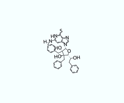 Nc1cc2c(ncn2[C@@H]2O[C@H](C(O)Cc3ccccc3)[C@](O)(Cc3ccccc3)[C@@]2(O)Cc2ccccc2)c(=S)[nH]1